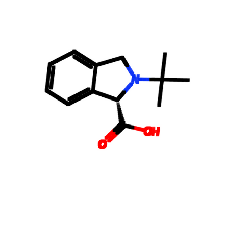 CC(C)(C)N1Cc2ccccc2[C@H]1C(=O)O